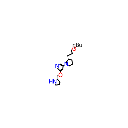 CCCCOCCC[C@H]1CCCN(c2cncc(OC[C@@H]3CCCN3)c2)C1